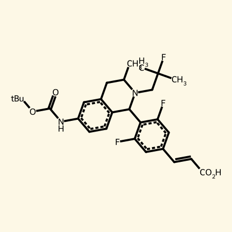 CC1Cc2cc(NC(=O)OC(C)(C)C)ccc2C(c2c(F)cc(/C=C/C(=O)O)cc2F)N1CC(C)(C)F